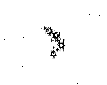 O=C(Nc1ccc(F)c(-c2nc3ncc(-c4cnc(Cl)nc4)cc3[nH]2)c1)N1CCCC1